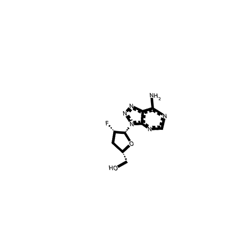 Nc1ncnc2c1nnn2[C@@H]1O[C@H](CO)C[C@@H]1F